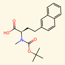 CN(C(=O)OC(C)(C)C)[C@H](CCc1ccc2ccccc2c1)C(=O)O